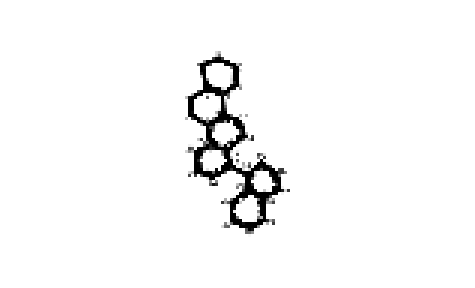 C1=CC2=C(CC1)CCc1c2ccc2c(-c3cccc4ccccc34)cccc12